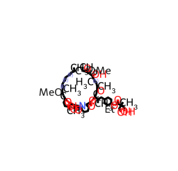 CCC1CC(CC(C)C2CC(=O)C(C)/C=C(\C)C(O)C(OC)C(=O)C(C)CC(C)/C=C/C=C/C=C(\C)C(OC)CC3CCC(C)C(O)(O3)C(=O)C(=O)N3CCCCC3C(=O)O2)CCC1OC(=O)C(C)(CO)CO